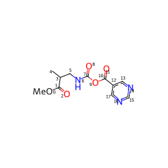 COC(=O)C(C)CNC(=O)OC(=O)c1cncnc1